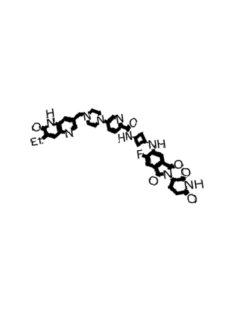 CCc1cc2ncc(CN3CCN(c4ccc(C(=O)N[C@H]5C[C@@H](Nc6cc7c(cc6F)C(=O)N(C6CCC(=O)NC6=O)C7=O)C5)nc4)CC3)cc2[nH]c1=O